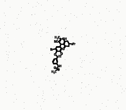 CCCC1CC(=O)C2=C(C1)NC(C)=C(C#N)C2c1cc(Br)c(OCc2cccc(NS(C)(=O)=O)c2)c(OCC)c1